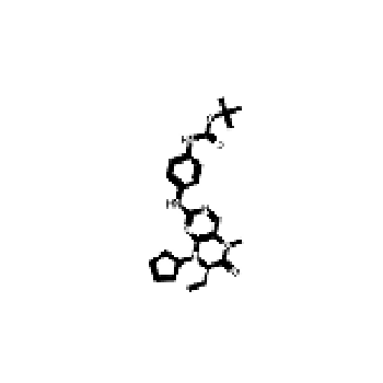 CC[C@@H]1C(=O)N(C)c2cnc(Nc3ccc(NC(=O)OC(C)(C)C)cc3)nc2N1C1CCCC1